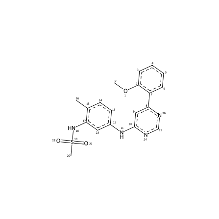 COc1ccccc1-c1cc(Nc2ccc(C)c(NS(C)(=O)=O)c2)ncn1